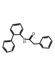 O=C(Cc1ccccc1)Nc1ccccc1-c1cc[c]cc1